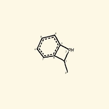 CC1Pc2ccccc21